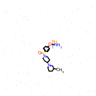 CC1CCCN(C2CCN([S+]([O-])c3ccc(OC(N)(F)P)cc3)CC2)C1